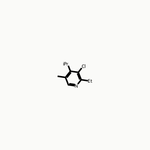 CCc1ncc(C)c(C(C)C)c1Cl